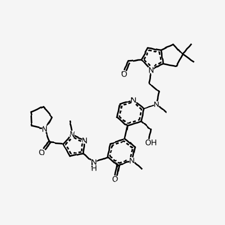 CN(CCn1c(C=O)cc2c1CC(C)(C)C2)c1nccc(-c2cc(Nc3cc(C(=O)N4CCCC4)n(C)n3)c(=O)n(C)c2)c1CO